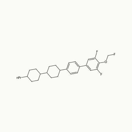 CCCC1CCC(C2CCC(c3ccc(-c4cc(F)c(OCF)c(F)c4)cc3)CC2)CC1